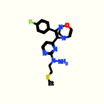 CCSCCN(N)c1nccc(C2=C(c3ccc(F)cc3)N3CN2C=CO3)n1